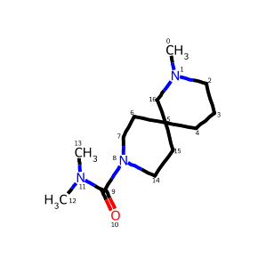 CN1CCCC2(CCN(C(=O)N(C)C)CC2)C1